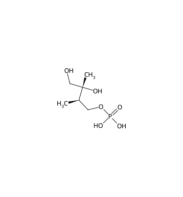 C[C@H](COP(=O)(O)O)[C@@](C)(O)CO